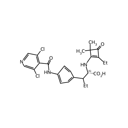 CCC1=C(N[C@H](C(=O)O)C(CC)c2ccc(NC(=O)c3c(Cl)cncc3Cl)cc2)C(C)(C)C1=O